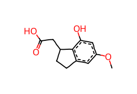 COc1cc(O)c2c(c1)CCC2CC(=O)O